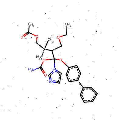 CCOCC(C(C)(C)COC(C)=O)C(OC(N)=O)(Oc1ccc(-c2ccccc2)cc1)n1ccnc1